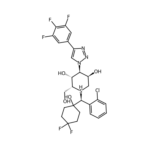 OC[C@@H]1[C@H](O)[C@@H](n2cc(-c3cc(F)c(F)c(F)c3)nn2)[C@@H](O)C[SH]1[C@@H](c1ccccc1Cl)C1(O)CCC(F)(F)CC1